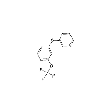 FC(F)(F)Oc1cccc(Oc2c[c]ccc2)c1